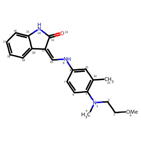 COCCN(C)c1ccc(NC=C2C(=O)Nc3ccccc32)cc1C